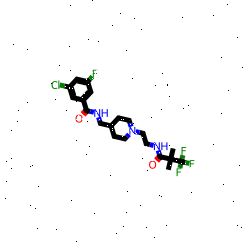 CC(C)(C(=O)NCCN1CCC(CNC(=O)c2cc(F)cc(Cl)c2)CC1)C(F)(F)F